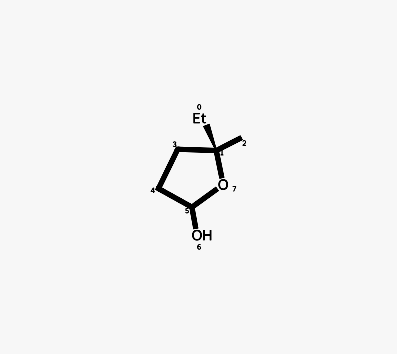 CC[C@]1(C)CCC(O)O1